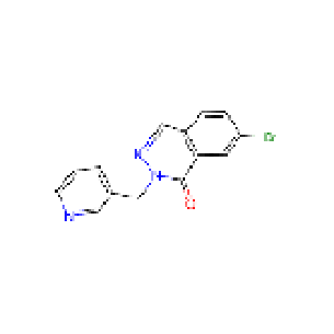 O=c1c2cc(Br)ccc2cnn1Cc1cccnc1